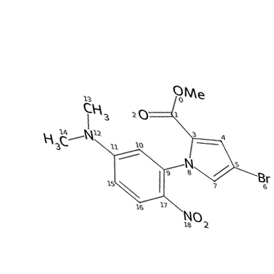 COC(=O)c1cc(Br)cn1-c1cc(N(C)C)ccc1[N+](=O)[O-]